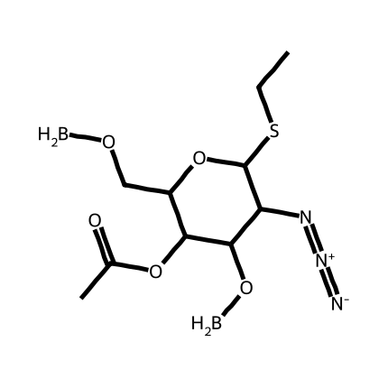 BOCC1OC(SCC)C(N=[N+]=[N-])C(OB)C1OC(C)=O